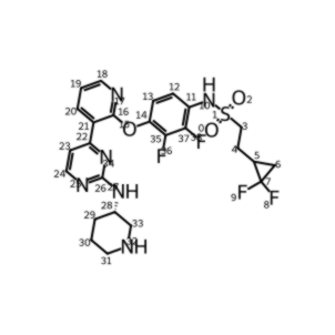 O=S(=O)(CCC1CC1(F)F)Nc1ccc(Oc2ncccc2-c2ccnc(N[C@H]3CCCNC3)n2)c(F)c1F